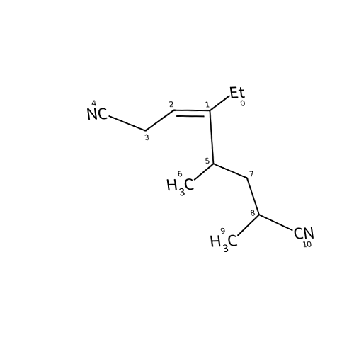 CCC(=CCC#N)C(C)CC(C)C#N